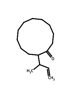 C=CC(C)C1CCCCCCCCCCC1=O